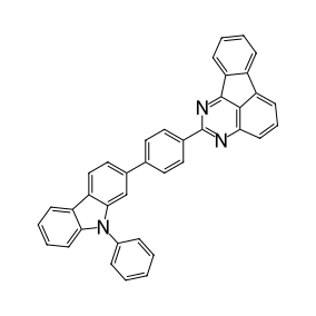 c1ccc(-n2c3ccccc3c3ccc(-c4ccc(-c5nc6c7c(cccc7n5)-c5ccccc5-6)cc4)cc32)cc1